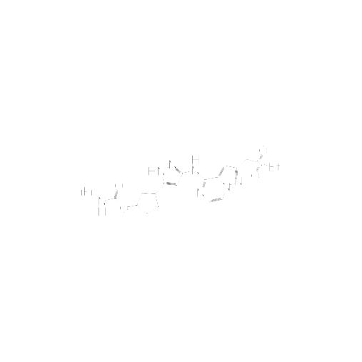 CCS(=O)(=O)Cc1cc2c(Nc3cc(C4CCC(OC(=O)NC(C)C)C4)[nH]n3)nccn2n1